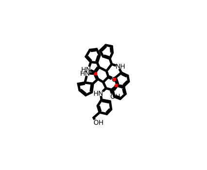 O=C(C(c1c[nH]c2ccccc12)C(Nc1cccc(CO)c1)c1ccccc1)C(c1c[nH]c2ccccc12)C(Nc1cccc(CO)c1)c1ccccc1